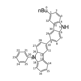 CCCCc1ccc2[nH]c3ccc(C4=CC5c6ccccc6N(c6ccccc6)C5C=C4)cc3c2c1